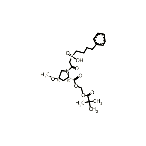 CO[C@@H]1C[C@@H](C(=O)OCOC(=O)C(C)(C)C)N(C(=O)CP(=O)(O)CCCCc2ccccc2)C1